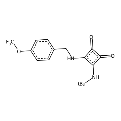 CC(C)(C)Nc1c(NCc2ccc(OC(F)(F)F)cc2)c(=O)c1=O